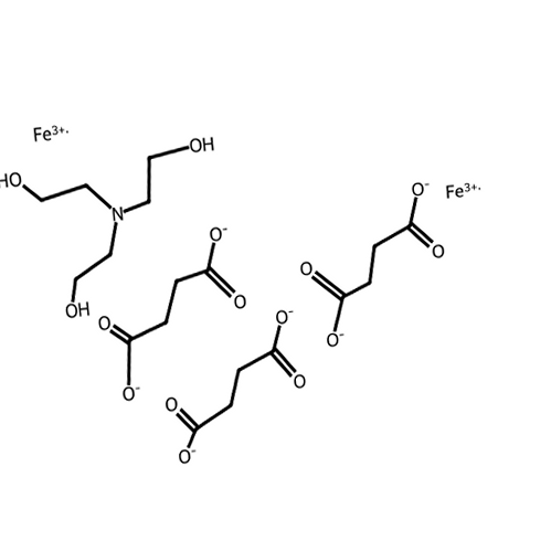 O=C([O-])CCC(=O)[O-].O=C([O-])CCC(=O)[O-].O=C([O-])CCC(=O)[O-].OCCN(CCO)CCO.[Fe+3].[Fe+3]